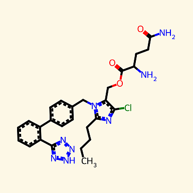 CCCCc1nc(Cl)c(COC(=O)C(N)CCC(N)=O)n1Cc1ccc(-c2ccccc2-c2nn[nH]n2)cc1